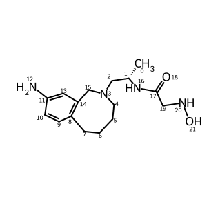 C[C@@H](CN1CCCCc2ccc(N)cc2C1)NC(=O)CNO